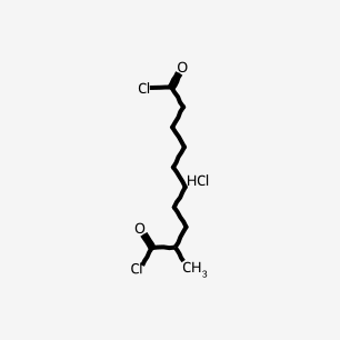 CC(CCCCCCCC(=O)Cl)C(=O)Cl.Cl